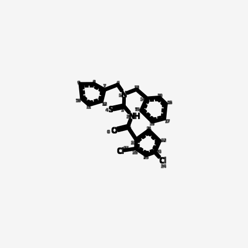 O=C(NC(=S)N(Cc1ccccc1)Cc1ccccc1)c1ccc(Cl)cc1Cl